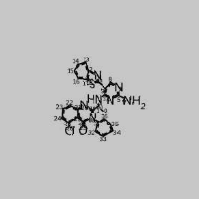 C[C@H](Nc1nc(N)ncc1-c1nc2ccccc2s1)c1nc2cccc(Cl)c2c(=O)n1-c1ccccc1